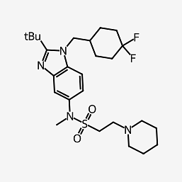 CN(c1ccc2c(c1)nc(C(C)(C)C)n2CC1CCC(F)(F)CC1)S(=O)(=O)CCN1CCCCC1